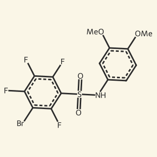 COc1ccc(NS(=O)(=O)c2c(F)c(F)c(F)c(Br)c2F)cc1OC